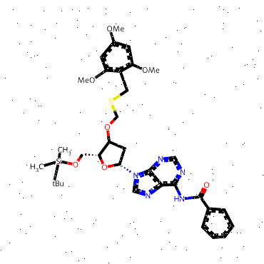 COc1cc(OC)c(CSCOC2C[C@H](n3cnc4c(NC(=O)c5ccccc5)ncnc43)O[C@@H]2CO[Si](C)(C)C(C)(C)C)c(OC)c1